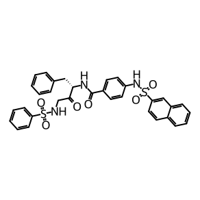 O=C(N[C@@H](Cc1ccccc1)C(=O)CNS(=O)(=O)c1ccccc1)c1ccc(NS(=O)(=O)c2ccc3ccccc3c2)cc1